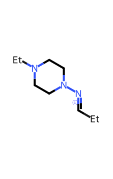 CC/C=N/N1CCN(CC)CC1